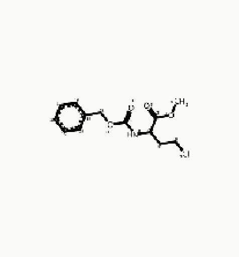 COC(=O)C(CCCl)NC(=O)OCc1ccccc1